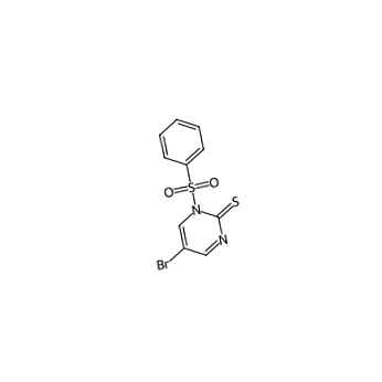 O=S(=O)(c1ccccc1)n1cc(Br)cnc1=S